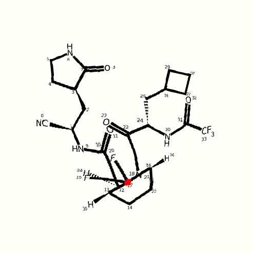 N#C[C@@H](C[C@H]1CCNC1=O)NC(=O)[C@@H]1[C@H]2CC[C@H](CC2(F)F)N1C(=O)[C@H](CC1CCC1)NC(=O)C(F)(F)F